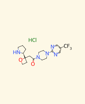 Cl.O=C(CC1([C@@H]2CCCN2)CCO1)N1CCN(c2ncc(C(F)(F)F)cn2)CC1